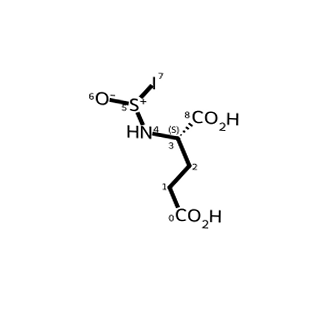 O=C(O)CC[C@H](N[S+]([O-])I)C(=O)O